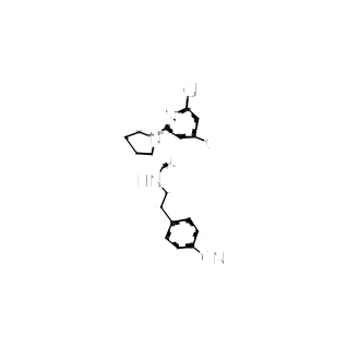 N#Cc1ccc(CCNC(=O)[C@@H]2CCCN2c2cc(C(F)(F)F)cc(Cl)n2)cc1